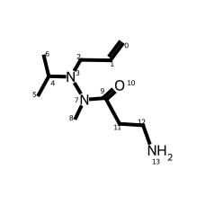 C=CCN(C(C)C)N(C)C(=O)CCN